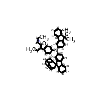 C=Cc1c(/C=C\C)oc2cc(N(c3ccc4c(c3)-c3ccccc3C4(C)C)c3ccc4c(c3)C3(c5ccccc5-4)C4CC5CC(C4)CC3C5)ccc12